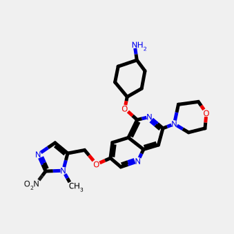 Cn1c(COc2cnc3cc(N4CCOCC4)nc(OC4CCC(N)CC4)c3c2)cnc1[N+](=O)[O-]